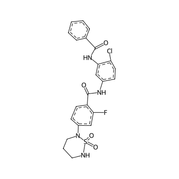 O=C(Nc1cc(NC(=O)c2ccc(N3CCCNS3(=O)=O)cc2F)ccc1Cl)c1ccccc1